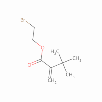 C=C(C(=O)OCCBr)C(C)(C)C